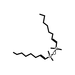 CCCCCCC=C[Si](C)(C)O[Si](C)(C)C=CCCCCCC